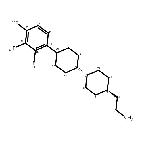 CCC[C@H]1CC[C@H](C2CCC(c3ccc(F)c(F)c3F)CC2)CC1